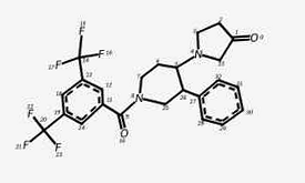 O=C1CCN(C2CCN(C(=O)c3cc(C(F)(F)F)cc(C(F)(F)F)c3)CC2c2ccccc2)C1